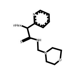 CCCCCCC(C(=S)NCN1CCOCC1)c1ccccn1